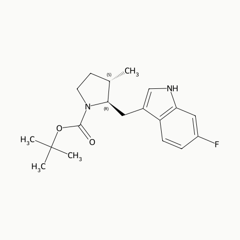 C[C@H]1CCN(C(=O)OC(C)(C)C)[C@@H]1Cc1c[nH]c2cc(F)ccc12